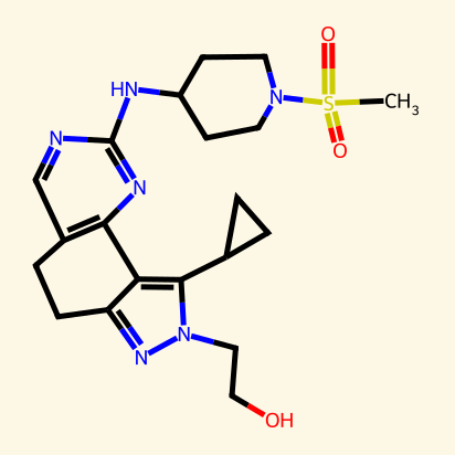 CS(=O)(=O)N1CCC(Nc2ncc3c(n2)-c2c(nn(CCO)c2C2CC2)CC3)CC1